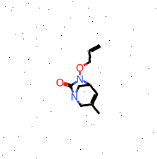 C=CCON1C(=O)N2CC(C)=CC1C2